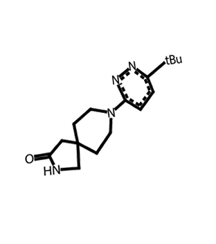 CC(C)(C)c1ccc(N2CCC3(CC2)CNC(=O)C3)nn1